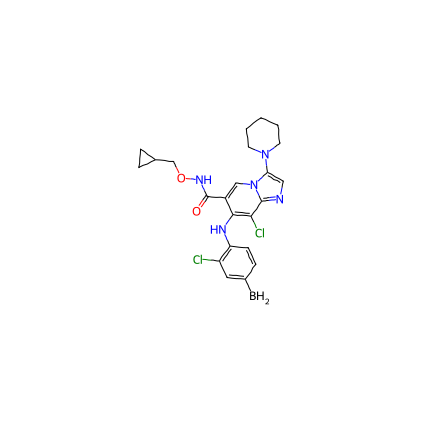 Bc1ccc(Nc2c(C(=O)NOCC3CC3)cn3c(N4CCCCC4)cnc3c2Cl)c(Cl)c1